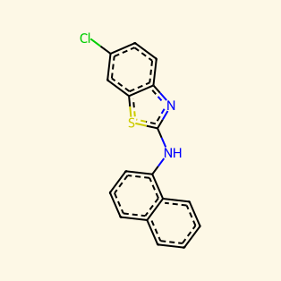 Clc1ccc2nc(Nc3cccc4ccccc34)sc2c1